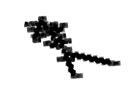 CCCCCCCCCCCCC/C=C/[C@@H](O)[C@H](CO[C@@H]1OC(CO)[C@@H](O[C@@H]2OC(CO)[C@H](O)[C@H](O[C@]3(C(=O)O)CC(O)[C@@H](NC(C)=O)C([C@H](O)[C@H](O)CO)O3)C2O)[C@H](O)C1O)NC(=O)CCCCCCCCCCCCCCCCCCCCC